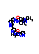 CC(Oc1cc(-c2cc3n(n2)CCC32CCN(C(=O)NC(C)(C)c3cn(C)nn3)C2)cnc1N)c1cccnc1